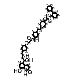 O=C(COc1ccc(CNCC(O)c2ccc(O)c3[nH]c(=O)ccc23)cc1)Nc1ccc(CCN2CCC(OC(=O)Nc3ccccc3-c3ccccc3)CC2)cc1